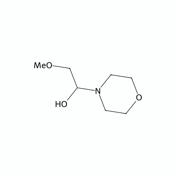 COCC(O)N1CCOCC1